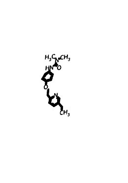 CCc1ccc(CCOc2ccc(NC(=O)N(C)C)cc2)nc1